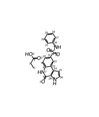 CCC(=O)O.O=c1[nH]c2ccc(S(=O)(=O)Nc3ccccc3)cc2c2cc[nH]c12